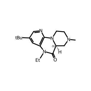 CCN1C(=O)[C@@H]2CN(C)CCN2c2ncc(C(C)(C)C)cc21